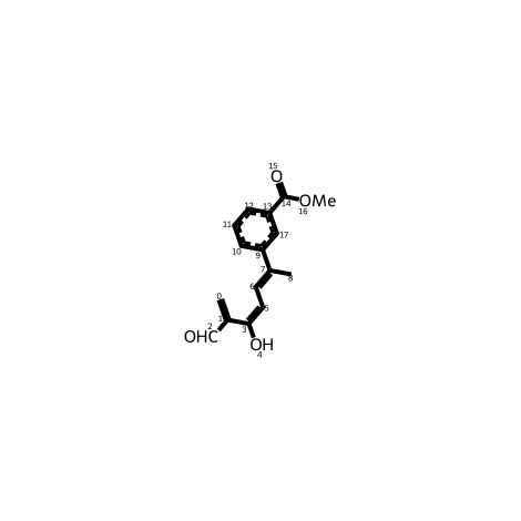 C=C(C=O)/C(O)=C\C=C(/C)c1cccc(C(=O)OC)c1